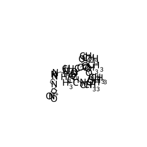 CC[C@H]1OC(=O)[C@H](C)[C@@H](O[C@H]2C[C@@](C)(OC)[C@@H](O)[C@H](C)O2)[C@H](C)[C@@H](O[C@H]2C[C@@H](N(C)CCc3cn([C@H]4CCCN(Cc5ccc([N+](=O)[O-])cc5)C4)nn3)C[C@@H](C)O2)[C@](C)(O)C[C@@H](C)CN(C)[C@H](C)[C@@H](O)[C@]1(C)O